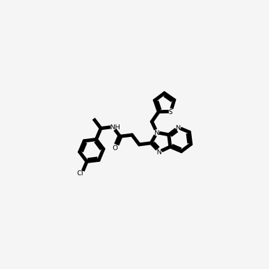 CC(NC(=O)CCc1nc2cccnc2n1Cc1cccs1)c1ccc(Cl)cc1